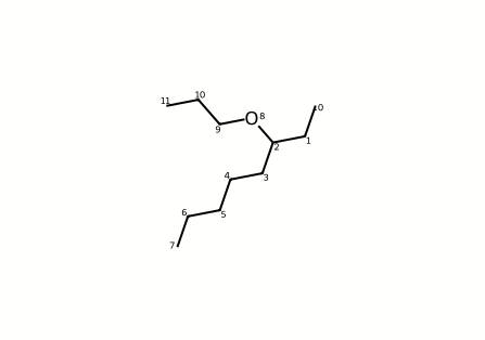 [CH2]CC(CCCCC)OCCC